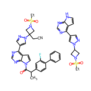 CCS(=O)(=O)N1CC(CC#N)(n2cc(-c3ncnc4c3ccn4C(=O)C(C)c3ccc(-c4ccccc4)c(F)c3)cn2)C1.CCS(=O)(=O)N1CC(n2cc(-c3ncnc4[nH]ccc34)cn2)C1